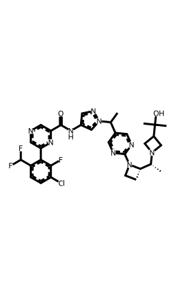 CC(c1cnc(N2CC[C@H]2[C@@H](C)N2CC(C(C)(C)O)C2)nc1)n1cc(NC(=O)c2cncc(-c3c(C(F)F)ccc(Cl)c3F)n2)cn1